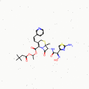 CC(OC(=O)CC(C)(C)C)OC(=O)C1=C(/C=C\c2cccnc2)CS[C@@H]2[C@H](NC(=O)/C(=N\O)c3csc(N)n3)C(=O)N12